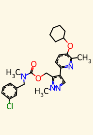 Cc1nc(-c2cnn(C)c2COC(=O)N(C)Cc2cccc(Cl)c2)ccc1OC1CCCCC1